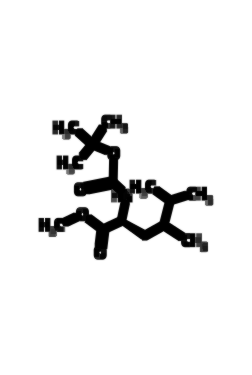 COC(=O)[C@H](CC(C)C(C)C)NC(=O)OC(C)(C)C